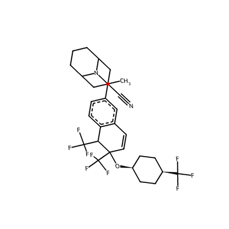 CC(c1ccc2c(c1)C=CC(O[C@H]1CC[C@@H](C(F)(F)F)CC1)(C(F)(F)F)C2C(F)(F)F)N1C2CCCC1CC(C#N)C2